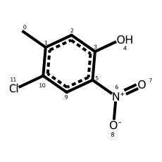 Cc1cc(O)c([N+](=O)[O-])cc1Cl